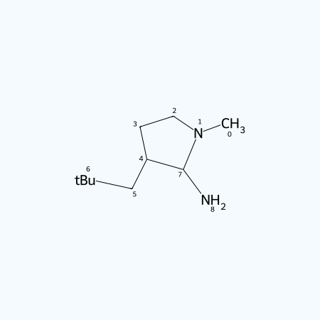 CN1CCC(CC(C)(C)C)C1N